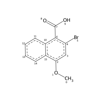 COc1cc(Br)c(C(=O)O)c2ccccc12